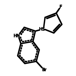 FC1=C[SH](c2c[nH]c3ccc(Br)cc23)C=C1